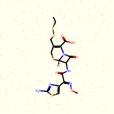 CCSSCC1=C(C(=O)O)N2C(=O)C(NC(=O)C(=NOC)c3csc(N)n3)[C@@H]2SC1